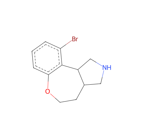 Brc1cccc2c1C1CNCC1CCO2